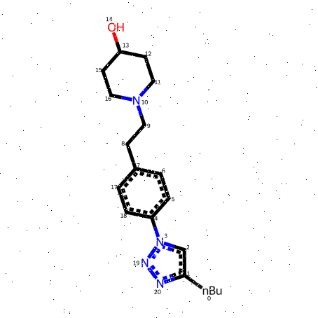 CCCCc1cn(-c2ccc(CCN3CCC(O)CC3)cc2)nn1